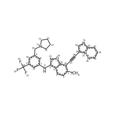 Cc1ccc2c(Nc3cc(CN4CCCC4)cc(C(F)(F)F)c3)noc2c1C#Cc1cnc2cccnn12